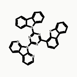 c1ccc2c(c1)sc1c(-c3nc(-n4c5ccccc5c5ccccc54)nc(-n4c5ncccc5c5cccnc54)n3)cccc12